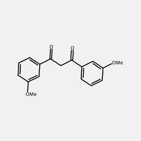 COc1cccc(C(=O)CC(=O)c2cccc(OC)c2)c1